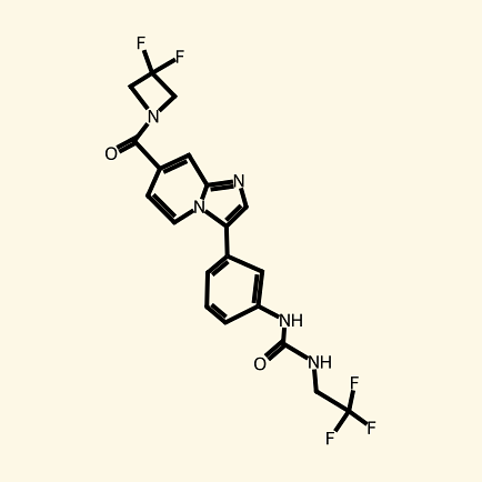 O=C(NCC(F)(F)F)Nc1cccc(-c2cnc3cc(C(=O)N4CC(F)(F)C4)ccn23)c1